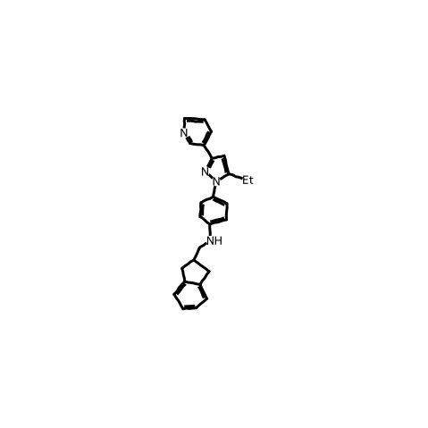 CCc1cc(-c2cccnc2)nn1-c1ccc(NCC2Cc3ccccc3C2)cc1